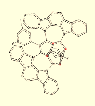 Fc1cc(F)cc(-c2c(-n3c4ccccc4c4ccc5c6ccccc6n(-c6ccccc6)c5c43)cc(C(F)(F)F)cc2-n2c3ccccc3c3ccc4c5ccccc5n(-c5ccccc5)c4c32)c1